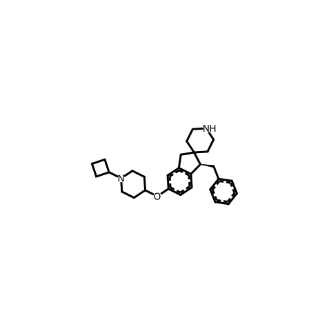 c1ccc(C[C@H]2c3ccc(OC4CCN(C5CCC5)CC4)cc3CC23CCNCC3)cc1